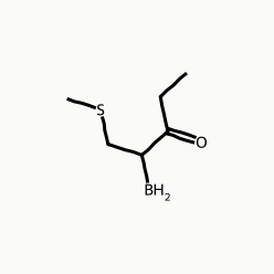 BC(CSC)C(=O)CC